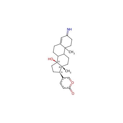 CC12CCC(=N)C=C1CCC1C2CC[C@]2(C)[C@@H](c3ccc(=O)oc3)CC[C@]12O